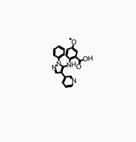 COc1ccc(Nc2c(-c3cccnc3)cnn2-c2ccccc2)c(C(=O)O)c1